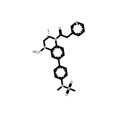 C[C@H]1CN(C(=O)O)c2cc(-c3ccc(N(C)S(C)(=O)=O)cc3)ccc2N1C(=O)Cc1cccnc1